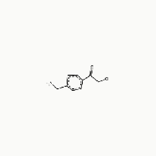 NCc1ccc(C(=O)CO)cc1